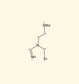 CNCCN(C=N)CC(C)=O